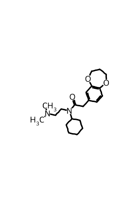 CN(C)CCN(C(=O)Cc1ccc2c(c1)OCCCO2)C1CCCCC1